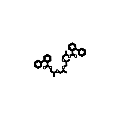 CC(COC(=O)c1ccccc1-c1ccccc1)OCC(C)OCC(C)OCC(C)OC(=O)c1ccccc1-c1ccccc1